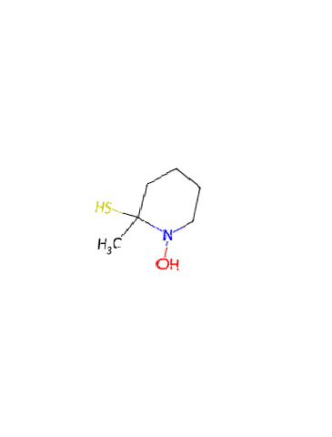 CC1(S)CCCCN1O